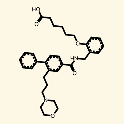 O=C(O)CCCCCOc1ccccc1CNC(=O)c1ccc(-c2ccccc2)c(CCCN2CCOCC2)c1